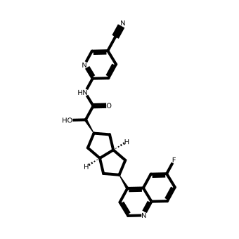 N#Cc1ccc(NC(=O)C(O)[C@H]2C[C@H]3C[C@@H](c4ccnc5ccc(F)cc45)C[C@H]3C2)nc1